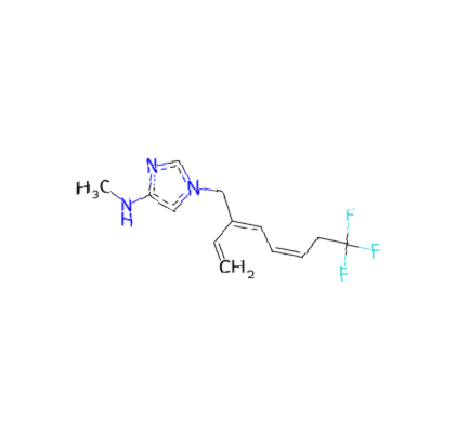 C=C/C(=C\C=C/CC(F)(F)F)Cn1cnc(NC)c1